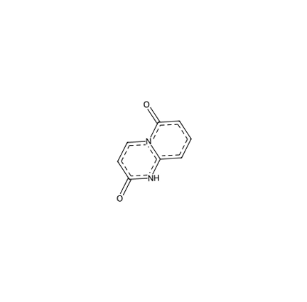 O=c1ccn2c(=O)cccc2[nH]1